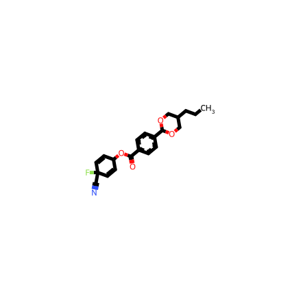 CCCC1COC(c2ccc(C(=O)OC3C=CC(F)(C#N)C=C3)cc2)OC1